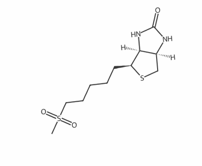 CS(=O)(=O)CCCCC[C@@H]1SC[C@@H]2NC(=O)N[C@@H]21